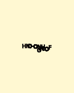 O=C(Nc1ccc(C2=CCNCC2)cc1)N1Cc2ccc(F)cc2C1